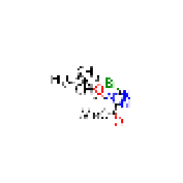 COC(=O)c1nnc(Br)n1COCC[Si](C)(C)C